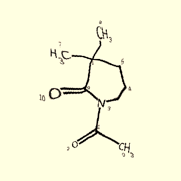 CC(=O)N1CCC(C)(C)C1=O